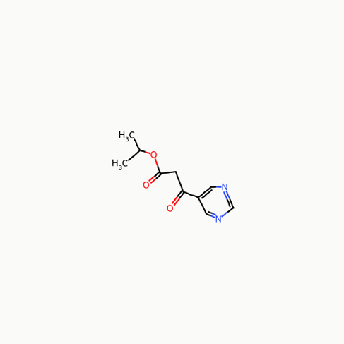 CC(C)OC(=O)CC(=O)c1cncnc1